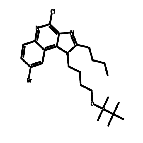 CCCCc1nc2c(Cl)nc3ccc(Br)cc3c2n1CCCCO[Si](C)(C)C(C)(C)C